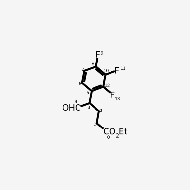 CCOC(=O)CCC(C=O)c1ccc(F)c(F)c1F